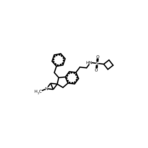 CN1C2C1C21Cc2ccc(CCNS(=O)(=O)C3CCC3)cc2C1Cc1ccccc1